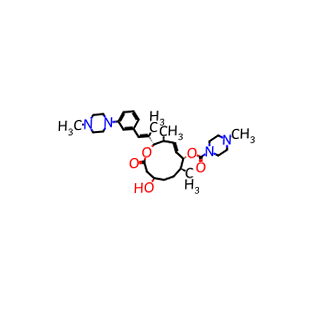 C/C(=C\c1cccc(N2CCN(C)CC2)c1)[C@H]1OC(=O)C[C@H](O)CC[C@H](C)[C@@H](OC(=O)N2CCN(C)CC2)/C=C/[C@@H]1C